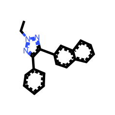 CCn1nc(-c2ccccc2)c(-c2ccc3ccccc3c2)n1